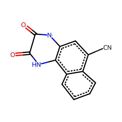 N#Cc1cc2c(c3ccccc13)NC(=O)C(=O)[N]2